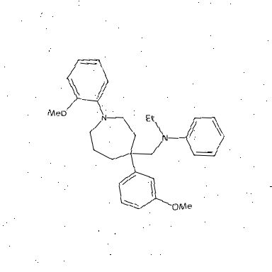 CCN(CC1(c2cccc(OC)c2)CCCN(c2ccccc2OC)CC1)c1ccccc1